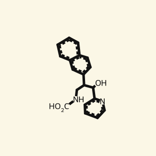 O=C(O)NCC(c1ccc2ccccc2c1)C(O)c1ccccn1